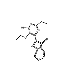 CCOc1c(S)nc(CC)nc1-n1[se]c2ccccc2c1=O